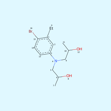 CCc1cc(N(CC(C)O)CC(C)O)ccc1Br